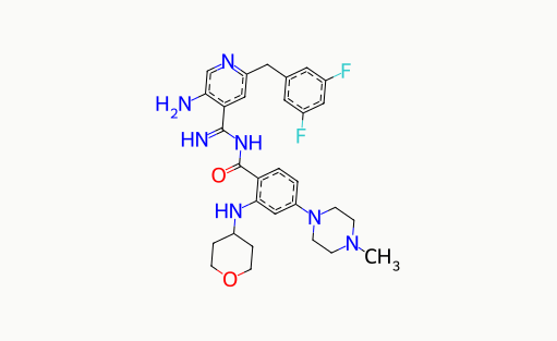 CN1CCN(c2ccc(C(=O)NC(=N)c3cc(Cc4cc(F)cc(F)c4)ncc3N)c(NC3CCOCC3)c2)CC1